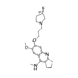 CNc1c2c(nc3cc(OCCCN4CC[C@@H](F)C4)c(OC)cc13)CCC2